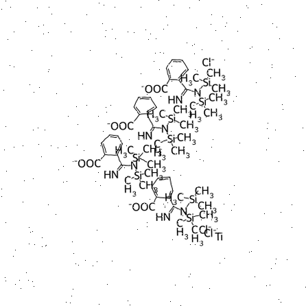 C[Si](C)(C)N(C(=N)c1ccccc1C(=O)[O-])[Si](C)(C)C.C[Si](C)(C)N(C(=N)c1ccccc1C(=O)[O-])[Si](C)(C)C.C[Si](C)(C)N(C(=N)c1ccccc1C(=O)[O-])[Si](C)(C)C.C[Si](C)(C)N(C(=N)c1ccccc1C(=O)[O-])[Si](C)(C)C.[Cl-].[Cl-].[Cl-].[Ti]